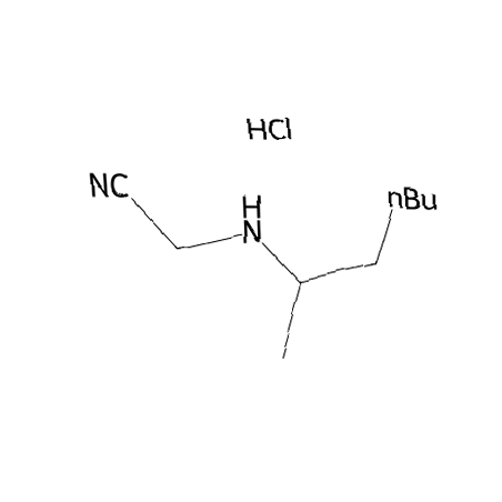 CCCCCC(C)NCC#N.Cl